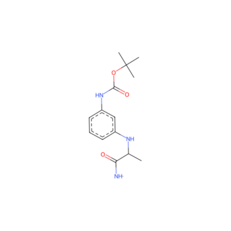 CC(Nc1cccc(NC(=O)OC(C)(C)C)c1)C([NH])=O